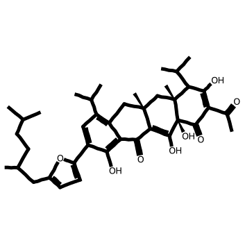 CC(=O)C1=C(O)C(C(C)C)[C@@]2(C)C[C@@]3(C)Cc4c(C(C)C)cc(-c5ccc(CC(C)CCC(C)C)o5)c(O)c4C(=O)C3=C(O)[C@@]2(O)C1=O